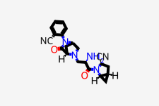 N#Cc1ccccc1N1C(=O)[C@@H]2CC1CN2C[C@H](N)C(=O)N1[C@H](C#N)C[C@@H]2C[C@@H]21